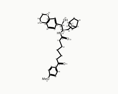 COc1ccc(C(=O)CCCCCC(=O)N[C@H](CN2C3CCC2CC3)[C@H](O)c2ccc3c(c2)OCCO3)cc1